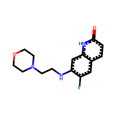 O=c1ccc2cc(F)c(NCCN3CCOCC3)cc2[nH]1